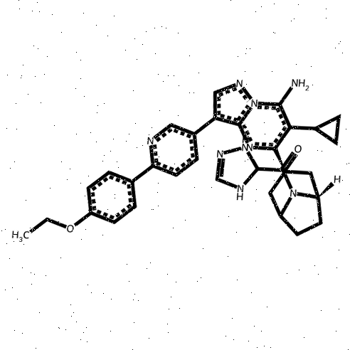 CCOc1ccc(-c2ccc(-c3cnn4c(N)c(C5CC5)c([C@@H]5CC6CC[C@@H](C5)N6C(=O)C5NC=NN5)nc34)cn2)cc1